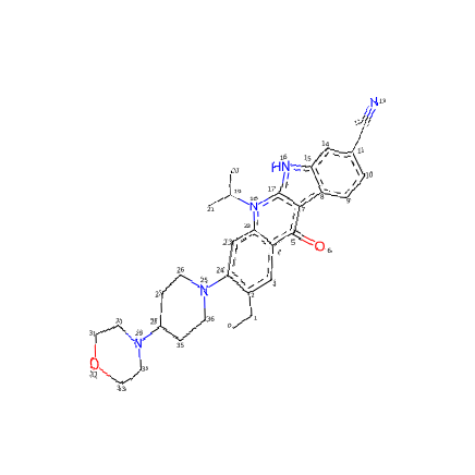 CCc1cc2c(=O)c3c4ccc(C#N)cc4[nH]c3n(C(C)C)c2cc1N1CCC(N2CCOCC2)CC1